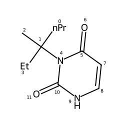 CCCC(C)(CC)n1c(=O)cc[nH]c1=O